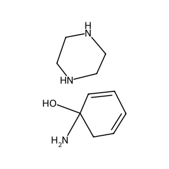 C1CNCCN1.NC1(O)C=CC=CC1